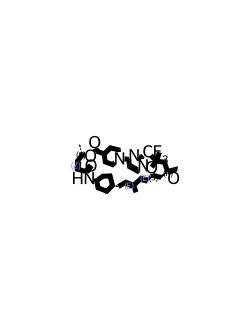 CC(/C=C/[C@@H]1C[C@]2(CO2)CC(C)(C)O1)=C\C[C@H]1CC[C@H](NC(=O)/C=C\[C@H](C)OC(=O)C2CCN(c3ccnc(C(F)(F)F)n3)CC2)CC1